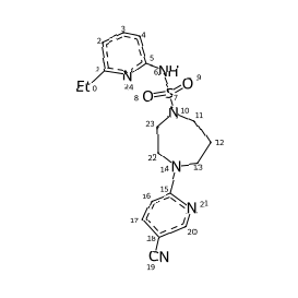 CCc1cccc(NS(=O)(=O)N2CCCN(c3ccc(C#N)cn3)CC2)n1